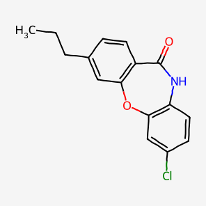 CCCc1ccc2c(c1)Oc1cc(Cl)ccc1NC2=O